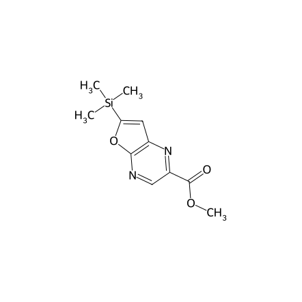 COC(=O)c1cnc2oc([Si](C)(C)C)cc2n1